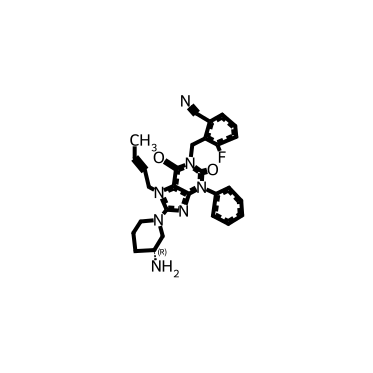 CC#CCn1c(N2CCC[C@@H](N)C2)nc2c1c(=O)n(Cc1c(F)cccc1C#N)c(=O)n2-c1ccccc1